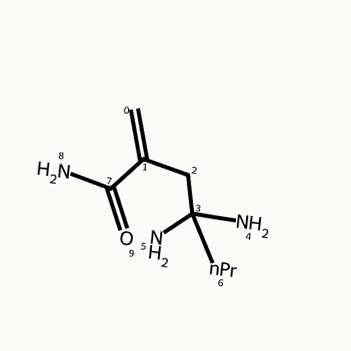 C=C(CC(N)(N)CCC)C(N)=O